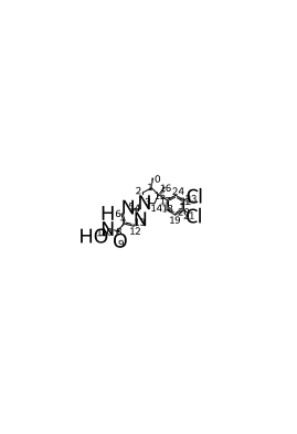 C[C@@H]1CN(c2ncc(C(=O)NO)cn2)C[C@@]1(C)c1ccc(Cl)c(Cl)c1